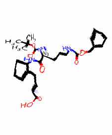 CC(C)(C)OC(=O)N[C@@H](CCCNC(=O)OCc1ccccc1)C(=O)Nc1ccccc1C/C=C/C(=O)O